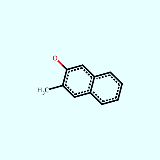 Cc1cc2ccccc2cc1[O]